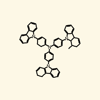 CC1CC=CC2c3ccccc3N(c3ccc(N(C4=CC=C(n5c6ccccc6c6ccccc65)CC4)c4ccc(-n5c6c(c7ccccc75)CCC=C6)cc4)cc3)C12